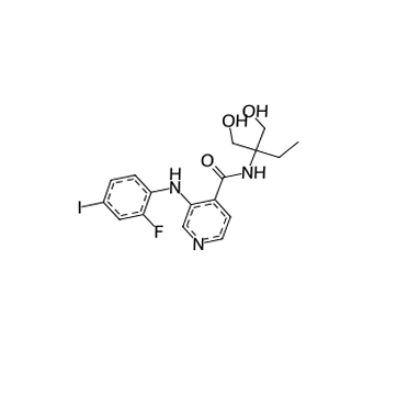 CCC(CO)(CO)NC(=O)c1ccncc1Nc1ccc(I)cc1F